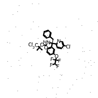 CC(C)(OC(=O)N[C@@](Cc1ccccc1)(c1cccc(OC(F)(F)C(F)F)c1)c1ccc(Cl)cn1)C(Cl)(Cl)Cl